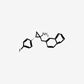 N[C@]1(Cc2ccc3ccccc3c2)C[C@H]1c1ccc(F)cc1